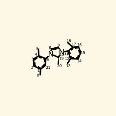 Cc1ccc(C)c(N2C=CN(c3c(C)cccc3C)[C@H]2C)c1